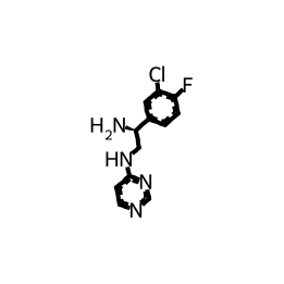 N[C@H](CNc1ccncn1)c1ccc(F)c(Cl)c1